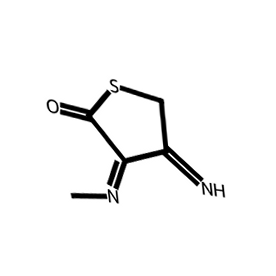 CN=C1C(=N)CSC1=O